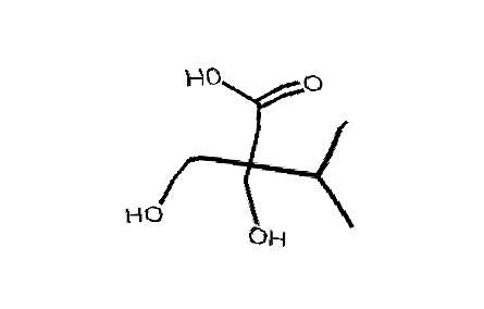 CC(C)C(O)(CO)C(=O)O